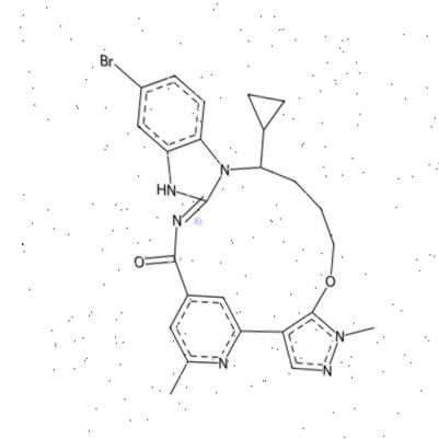 Cc1cc2cc(n1)-c1cnn(C)c1OCCCC(C1CC1)N1/C(=N/C2=O)Nc2cc(Br)ccc21